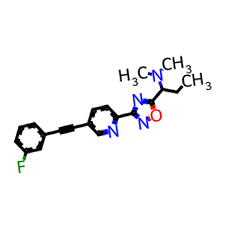 CCC(c1nc(-c2ccc(C#Cc3cccc(F)c3)cn2)no1)N(C)C